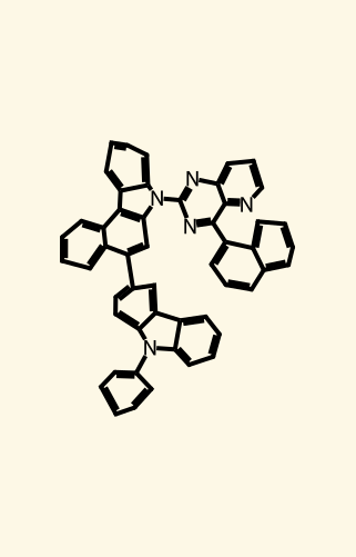 c1ccc(-n2c3ccccc3c3cc(-c4cc5c(c6ccccc46)c4ccccc4n5-c4nc(-c5cccc6ccccc56)c5ncccc5n4)ccc32)cc1